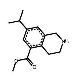 COC(=O)c1cc(C(C)C)cc2c1CCNC2